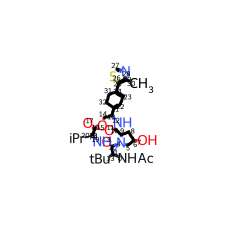 CC(=O)NC(C(=O)N1CC(O)CC1C(=O)NC(COC(=O)[C@@H](N)C(C)C)C1=CC=C(c2scnc2C)CC1)C(C)(C)C